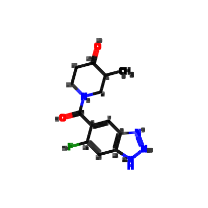 CC1CN(C(=O)c2cc3nn[nH]c3cc2F)CCC1=O